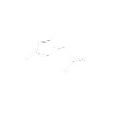 NC(N)CN1C=CN(Br)C1